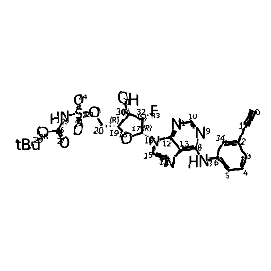 C#Cc1cccc(Nc2ncnc3c2ncn3[C@@H]2O[C@H](COS(=O)(=O)NC(=O)OC(C)(C)C)[C@@H](O)[C@@H]2F)c1